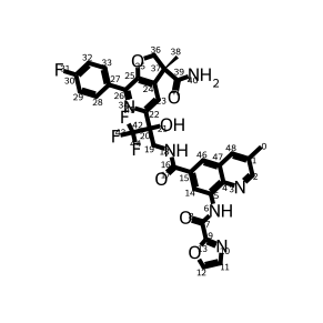 Cc1cnc2c(NC(=O)c3ncco3)cc(C(=O)NCC(O)(c3cc4c(c(-c5ccc(F)cc5)n3)OC[C@]4(C)C(N)=O)C(F)(F)F)cc2c1